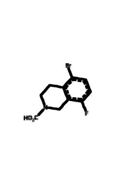 O=C(O)N1CCc2c(Br)ccc(F)c2C1